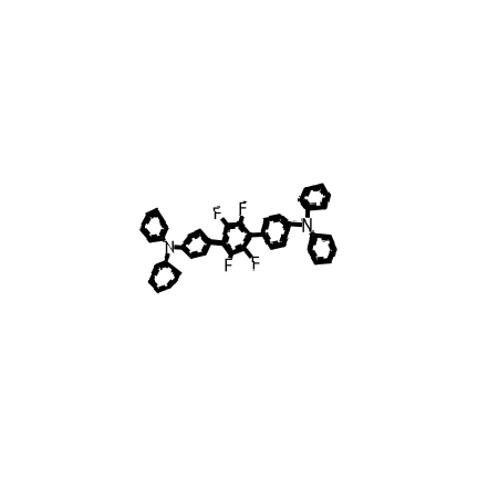 Fc1c(F)c(-c2ccc(N(c3ccccc3)c3ccccc3)cc2)c(F)c(F)c1-c1ccc(N(c2ccccc2)c2ccccc2)cc1